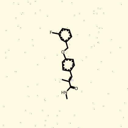 CNC(=O)/C(C)=C/c1ccc(OCc2cccc(F)c2)cc1